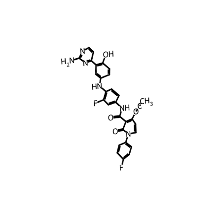 CCOc1ccn(-c2ccc(F)cc2)c(=O)c1C(=O)Nc1ccc(Nc2ccc(O)c(-c3ccnc(N)n3)c2)c(F)c1